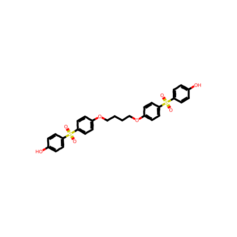 O=S(=O)(c1ccc(O)cc1)c1ccc(OCCCCOc2ccc(S(=O)(=O)c3ccc(O)cc3)cc2)cc1